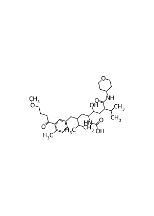 COCCCC(=O)c1cc(CC(CC(NC(=O)O)C(O)CC(C(=O)NC2CCOCC2)C(C)C)C(C)C)ccc1C